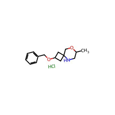 CC1CNC2(CO1)CC(OCc1ccccc1)C2.Cl